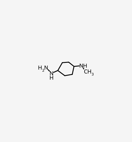 CNC1CCC(NN)CC1